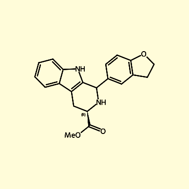 COC(=O)[C@H]1Cc2c([nH]c3ccccc23)C(c2ccc3c(c2)CCO3)N1